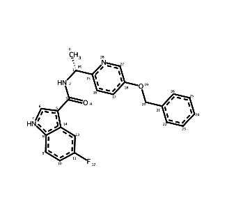 C[C@@H](NC(=O)c1c[nH]c2ccc(F)cc12)c1ccc(OCc2ccccc2)cn1